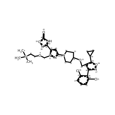 C[Si](C)(C)CCOCn1nc(N2CCC(OCc3c(-c4c(Cl)cccc4Cl)noc3C3CC3)CC2)cc1-c1noc(=O)[nH]1